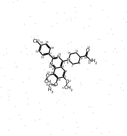 COc1cc2c(N3CCC(C(N)=O)CC3)nc(-c3ccc(Cl)cc3)nc2c(OC)c1OC